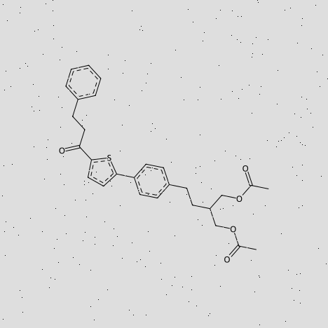 CC(=O)OCC(CCc1ccc(-c2ccc(C(=O)CCc3ccccc3)s2)cc1)COC(C)=O